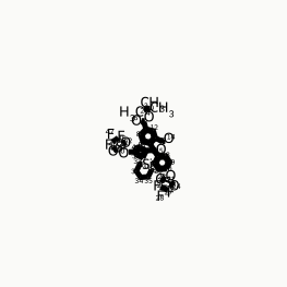 CC(C)(C)OC(=O)c1ccc2c(c1)C(=O)OC21c2ccc(OS(=O)(=O)C(F)(F)F)cc2[Si]2(CCCCC2)c2cc(OS(=O)(=O)C(F)(F)F)ccc21